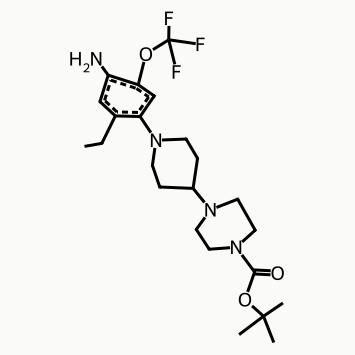 CCc1cc(N)c(OC(F)(F)F)cc1N1CCC(N2CCN(C(=O)OC(C)(C)C)CC2)CC1